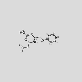 CC(C)CCNC(CSc1ccccc1)CC(=O)O